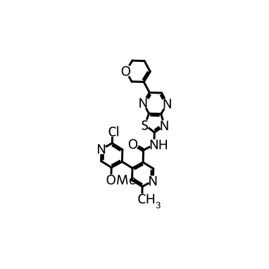 COc1cnc(Cl)cc1-c1cc(C)ncc1C(=O)Nc1nc2ncc(C3=CCCOC3)nc2s1